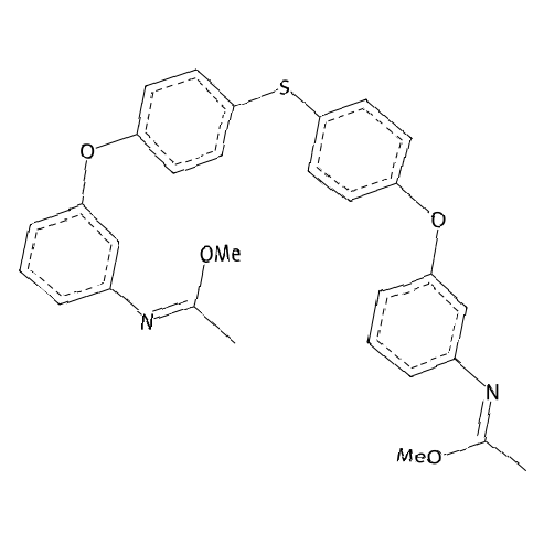 CO/C(C)=N\c1cccc(Oc2ccc(Sc3ccc(Oc4cccc(/N=C(/C)OC)c4)cc3)cc2)c1